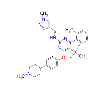 Cc1ccccc1-c1nc(NSc2cnn(C)c2)nc(Oc2ccc(C3CCN(C)CC3)cc2)c1C(C)(F)F